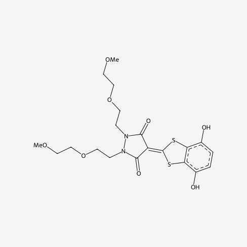 COCCOCCN1C(=O)C(=C2Sc3c(O)ccc(O)c3S2)C(=O)N1CCOCCOC